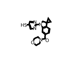 O=C(c1ccc2c(c1)N(c1ncc(S)cn1)CC21CC1)N1CCOCC1